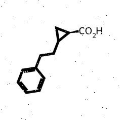 O=C(O)[C@@H]1CC1CCc1ccccc1